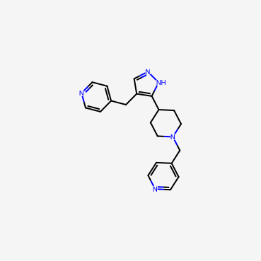 c1cc(Cc2cn[nH]c2C2CCN(Cc3ccncc3)CC2)ccn1